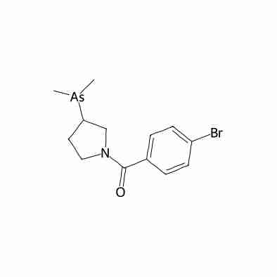 C[As](C)C1CCN(C(=O)c2ccc(Br)cc2)C1